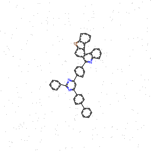 c1ccc(-c2ccc(-c3cc(-c4ccc(-c5nc6ccccc6c6c5ccc5sc7ccccc7c56)cc4)nc(-c4ccccc4)n3)cc2)cc1